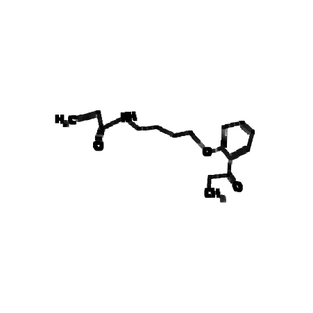 C=CC(=O)NCCCCOc1ccccc1C(=O)CC